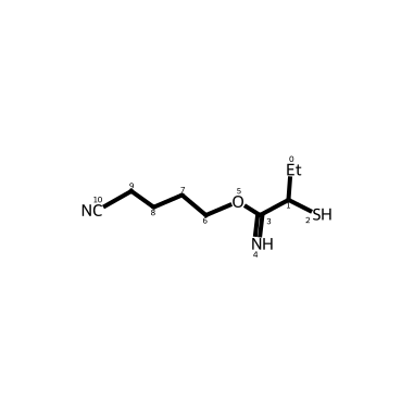 CCC(S)C(=N)OCCCCC#N